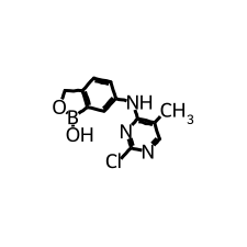 Cc1cnc(Cl)nc1Nc1ccc2c(c1)B(O)OC2